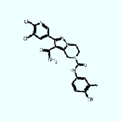 N#Cc1ccc(NC(=O)N2CCn3nc(-c4cnc(Cl)c(Cl)c4)c(C(N)=O)c3C2)cc1F